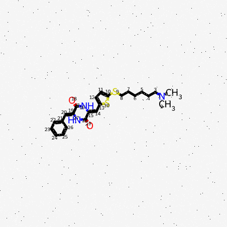 CN(C)CCCCCCSc1ccc(/C=c2\[nH]c(=O)/c(=C/c3ccccc3)[nH]c2=O)s1